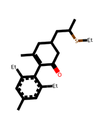 CCSC(C)CC1CC(=O)C(c2c(CC)cc(C)cc2CC)=C(C)C1